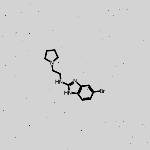 Brc1ccc2[nH]c(NCCN3CCCC3)nc2c1